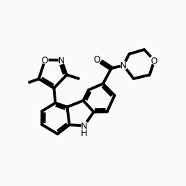 Cc1noc(C)c1-c1cccc2[nH]c3ccc(C(=O)N4CCOCC4)cc3c12